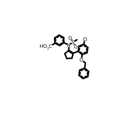 CS(=O)(=O)N(C1=C(c2cc(Cl)ccc2OCc2ccccc2)CCC1)c1cccc(C(=O)O)c1